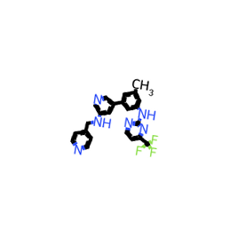 Cc1cc(Nc2nccc(C(F)(F)F)n2)cc(-c2cncc(NCc3ccncc3)c2)c1